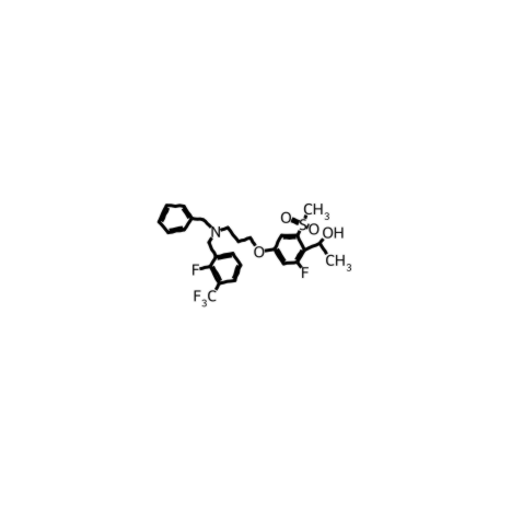 CC(O)c1c(F)cc(OCCCN(Cc2ccccc2)Cc2cccc(C(F)(F)F)c2F)cc1S(C)(=O)=O